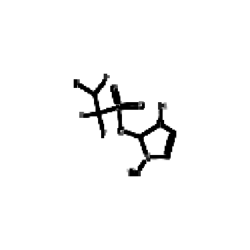 CCCCN1C=CN(CC)C1OS(=O)(=O)C(F)(F)C(F)F